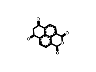 O=C1CC(=O)c2ccc3c4c(ccc1c24)C(=O)OC3=O